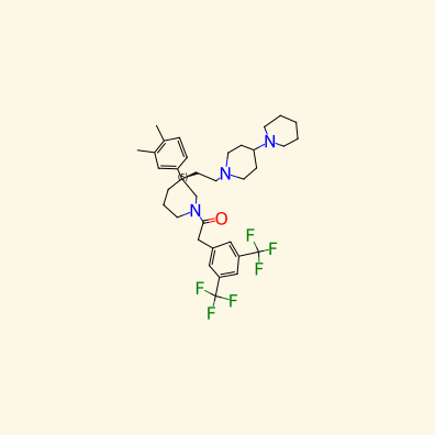 Cc1ccc([C@@]2(CCN3CCC(N4CCCCC4)CC3)CCCN(C(=O)Cc3cc(C(F)(F)F)cc(C(F)(F)F)c3)C2)cc1C